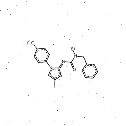 CCN(Cc1ccccc1)C(=O)N=c1sc(C)cn1-c1ccc(C(F)(F)F)cc1